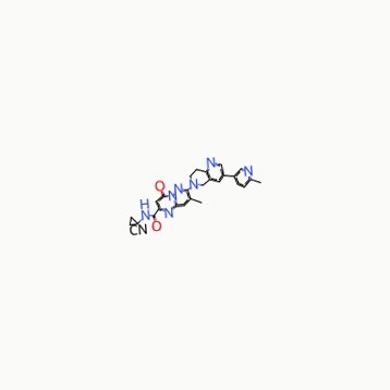 Cc1ccc(-c2cnc3c(c2)CN(c2nn4c(=O)cc(C(=O)NC5(C#N)CC5)nc4cc2C)CC3)cn1